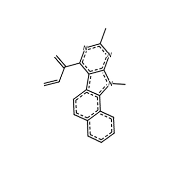 C=CC(=C)c1nc(C)nc2c1c1ccc3ccccc3c1n2C